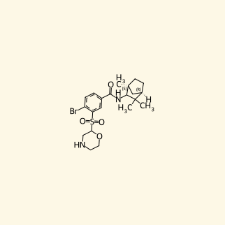 CC1(C)C(NC(=O)c2ccc(Br)c(S(=O)(=O)C3CNCCO3)c2)[C@@]2(C)CC[C@@H]1C2